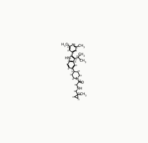 Cc1cc(-c2[nH]c3ccc(C4CCN(C(=O)CNCC5(C)CC5)CC4)cc3c2C(C)C)cc(C)n1